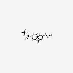 CC(C)(C)OC(=O)N1CCC2(CC1)CC(CCBr)OC2=O